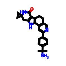 CC(C)(N)c1ccc(-c2cc3c(cn2)CCc2c-3[nH]c3c2C(=O)NC2(CC2)C3)cc1